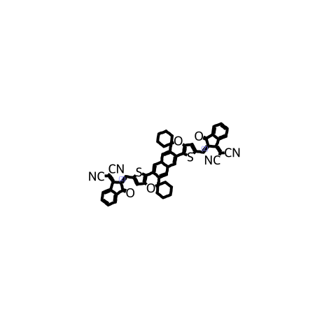 N#CC(C#N)=C1/C(=C/c2cc3c(s2)C2=CC4C=C5C(=CC4C=C2C2(CCCCC2)O3)c2sc(/C=C3\C(=O)c4ccccc4C3=C(C#N)C#N)cc2OC52CCCCC2)C(=O)c2ccccc21